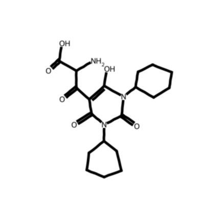 NC(C(=O)O)C(=O)c1c(O)n(C2CCCCC2)c(=O)n(C2CCCCC2)c1=O